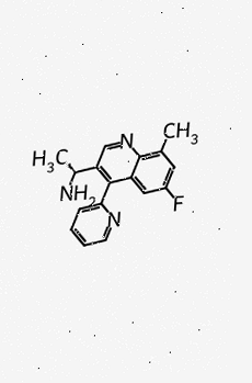 Cc1cc(F)cc2c(-c3ccccn3)c([C@H](C)N)cnc12